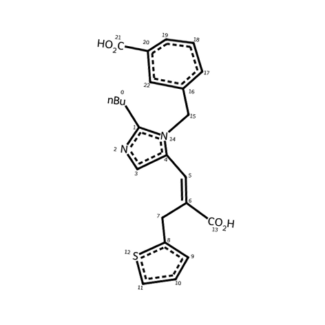 CCCCc1ncc(/C=C(\Cc2cccs2)C(=O)O)n1Cc1cccc(C(=O)O)c1